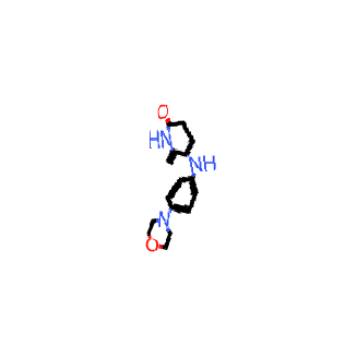 C=C1NC(=O)CCC1Nc1ccc(N2CCOCC2)cc1